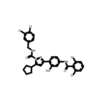 O=C(Nc1ccc(-c2cc(C3CCCC3)n(C(=O)NCc3ccc(Cl)c(Cl)c3)n2)c(O)c1)c1c(Cl)cccc1Cl